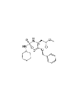 COC(=O)C[C@H](NS(=O)(=O)NC1CCCCC1)C(=O)OCc1ccccc1